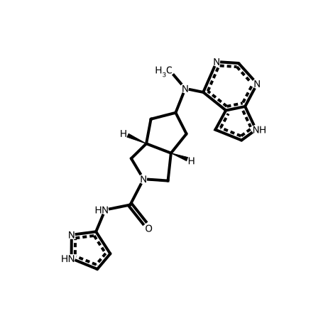 CN(c1ncnc2[nH]ccc12)C1C[C@@H]2CN(C(=O)Nc3cc[nH]n3)C[C@@H]2C1